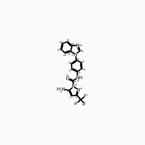 Nc1cc(C(F)(F)F)nn1C(=O)Nc1ccc(-n2cnc3ccccc32)cc1